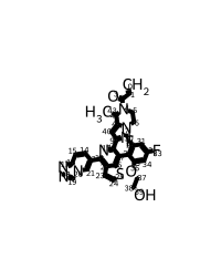 C=CC(=O)N1CCn2nc(-c3nc(-c4ccc5nncn5c4)c4ccsc4c3-c3c(F)cc(F)cc3OCCO)cc2C1C